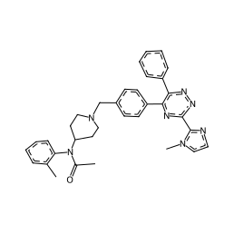 CC(=O)N(c1ccccc1C)C1CCN(Cc2ccc(-c3nc(-c4nccn4C)nnc3-c3ccccc3)cc2)CC1